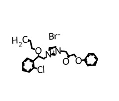 C=CCOC(C[n+]1ccn(CC(=O)COc2ccccc2)c1)c1ccccc1Cl.[Br-]